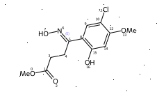 COC(=O)CC/C(=N\O)c1cc(Cl)c(OC)cc1O